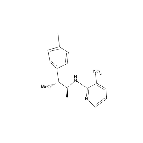 CO[C@H](c1ccc(C)cc1)[C@H](C)Nc1ncccc1[N+](=O)[O-]